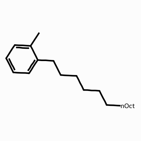 CCCCCCCCCCCCCCc1ccccc1C